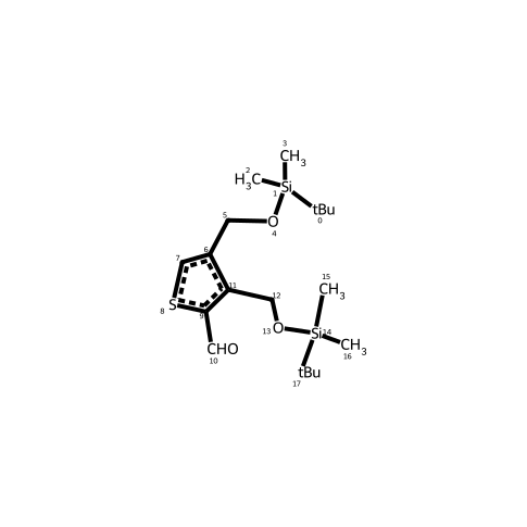 CC(C)(C)[Si](C)(C)OCc1csc(C=O)c1CO[Si](C)(C)C(C)(C)C